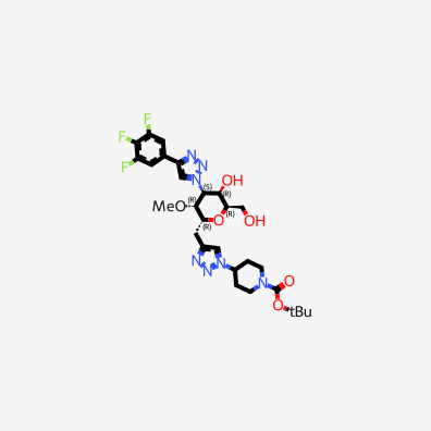 CO[C@@H]1[C@@H](n2cc(-c3cc(F)c(F)c(F)c3)nn2)[C@@H](O)[C@@H](CO)O[C@@H]1Cc1cn(C2CCN(C(=O)OC(C)(C)C)CC2)nn1